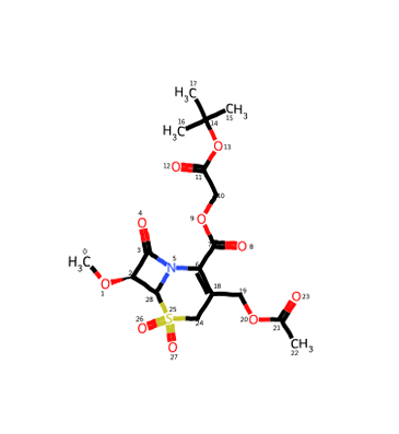 CO[C@H]1C(=O)N2C(C(=O)OCC(=O)OC(C)(C)C)=C(COC(C)=O)CS(=O)(=O)C12